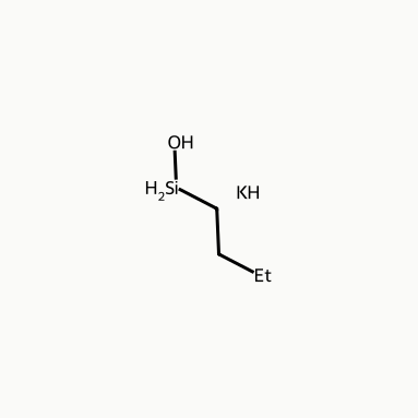 CCCC[SiH2]O.[KH]